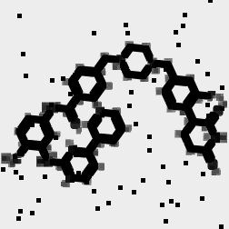 Cc1ccc(NC(=O)c2ccc(CN3CCN(Cc4ccc(C5CCC(=O)NC5=O)c(F)c4)CC3)cc2)cc1Nc1nccc(-c2cccnc2)n1